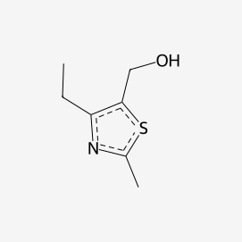 CCc1nc(C)sc1CO